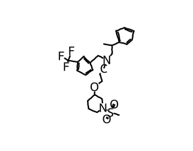 CC(CN(CCCOC1CCCN(S(C)(=O)=O)C1)Cc1cccc(C(F)(F)F)c1)c1ccccc1